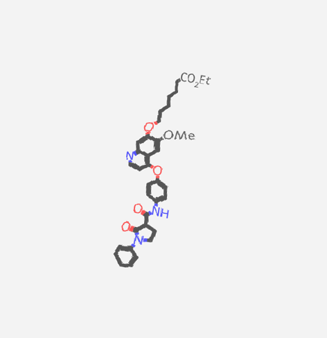 CCOC(=O)CCCCCCOc1cc2nccc(Oc3ccc(NC(=O)C4CCN(c5ccccc5)C4=O)cc3)c2cc1OC